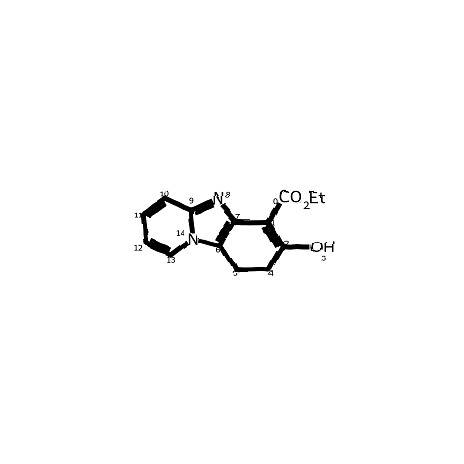 CCOC(=O)C1=C(O)CCc2c1nc1ccccn21